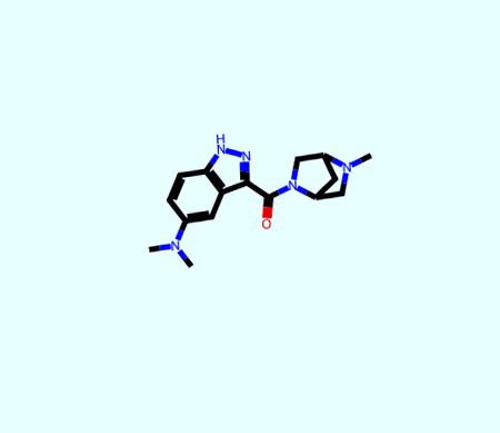 CN(C)c1ccc2[nH]nc(C(=O)N3CC4CC3CN4C)c2c1